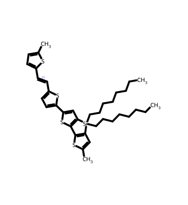 CCCCCCCC[Si]1(CCCCCCCC)c2cc(C)sc2-c2sc(-c3ccc(/C=C/c4ccc(C)s4)s3)cc21